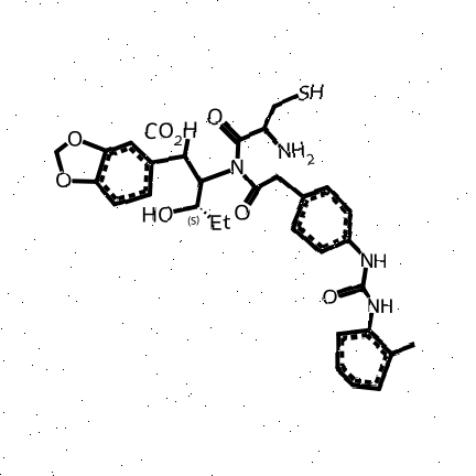 CC[C@H](O)C(C(C(=O)O)c1ccc2c(c1)OCO2)N(C(=O)Cc1ccc(NC(=O)Nc2ccccc2C)cc1)C(=O)C(N)CS